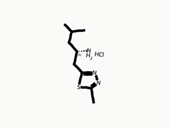 Cc1nnc(C[C@@H](N)CC(C)C)s1.Cl